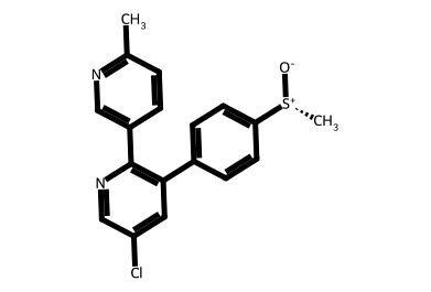 Cc1ccc(-c2ncc(Cl)cc2-c2ccc([S@@+](C)[O-])cc2)cn1